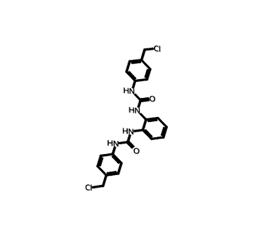 O=C(Nc1ccc(CCl)cc1)Nc1ccccc1NC(=O)Nc1ccc(CCl)cc1